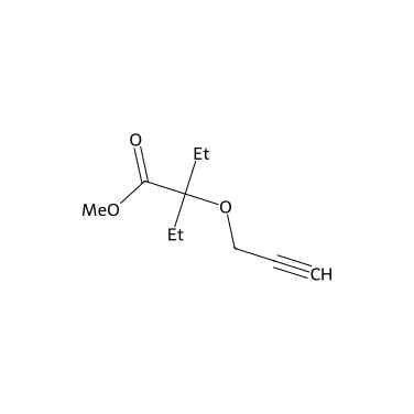 C#CCOC(CC)(CC)C(=O)OC